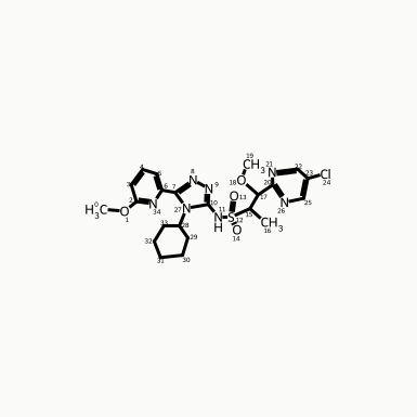 COc1cccc(-c2nnc(NS(=O)(=O)C(C)C(OC)c3ncc(Cl)cn3)n2C2CCCCC2)n1